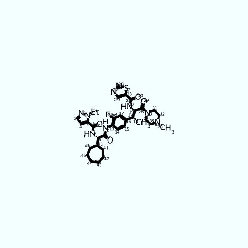 CCn1nccc1C(=O)N[C@H](C(=O)Nc1ccc([C@H](C)[C@@H](NC(=O)c2cnns2)C(=O)N2CCN(C)CC2)cc1F)C1CCCCCC1